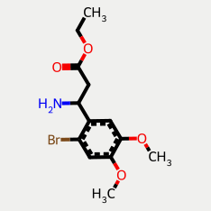 CCOC(=O)CC(N)c1cc(OC)c(OC)cc1Br